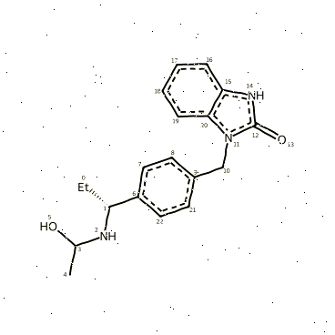 CC[C@@H](NC(C)O)c1ccc(Cn2c(=O)[nH]c3ccccc32)cc1